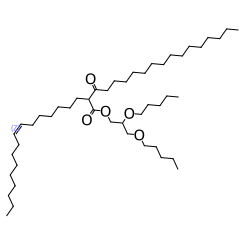 CCCCCCCC/C=C\CCCCCCC(C(=O)CCCCCCCCCCCCCCC)C(=O)OCC(COCCCCC)OCCCCC